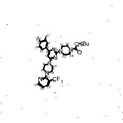 Cc1cc(-c2cc(N3CCN(c4ncccc4C(F)(F)F)CC3)nc(N3CCN(C(=O)OC(C)(C)C)CC3)n2)ccc1F